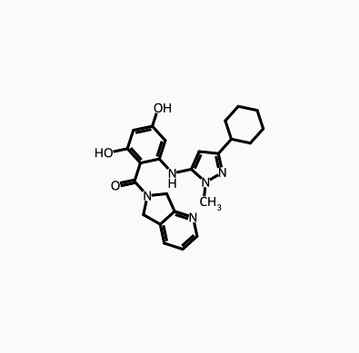 Cn1nc(C2CCCCC2)cc1Nc1cc(O)cc(O)c1C(=O)N1Cc2cccnc2C1